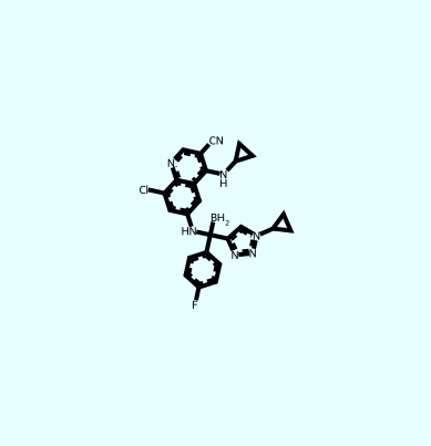 BC(Nc1cc(Cl)c2ncc(C#N)c(NC3CC3)c2c1)(c1ccc(F)cc1)c1cn(C2CC2)nn1